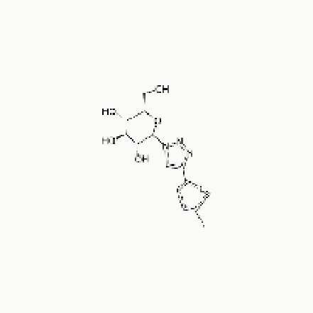 Cc1ccc(-c2cn(C3O[C@H](CO)[C@@H](O)[C@H](O)[C@H]3O)nn2)cc1